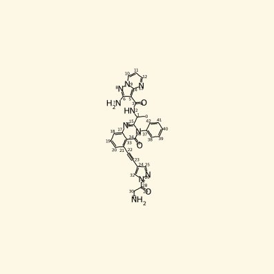 CC(NC(=O)c1c(N)nn2cccnc12)c1nc2cccc(C#Cc3cnn(C(=O)CN)c3)c2c(=O)n1-c1ccccc1